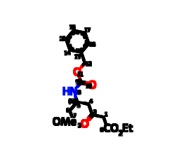 CCOC(=O)CC(=O)C[C@@H](COC)NC(=O)OCc1ccccc1